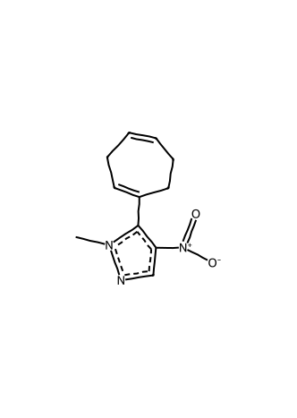 Cn1ncc([N+](=O)[O-])c1C1=CCC=CCC1